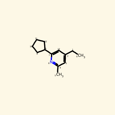 CCc1cc(C)nc(C2CCCC2)c1